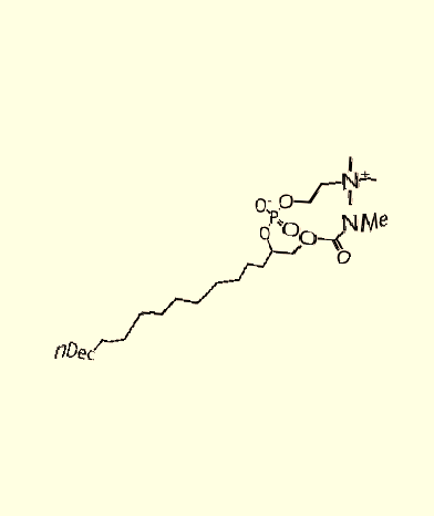 CCCCCCCCCCCCCCCCCCCCC(COC(=O)NC)OP(=O)([O-])OCC[N+](C)(C)C